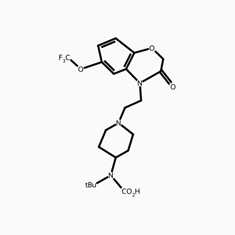 CC(C)(C)N(C(=O)O)C1CCN(CCN2C(=O)COc3ccc(OC(F)(F)F)cc32)CC1